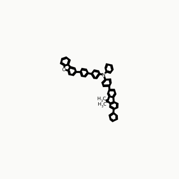 CC1(C)c2cc(-c3ccccc3)ccc2-c2ccc(-c3ccc(N(c4ccccc4)c4ccc(-c5ccc(-c6ccc7oc8ccccc8c7c6)cc5)cc4)cc3)cc21